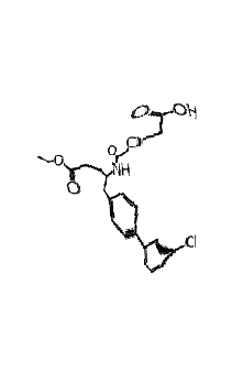 CCOC(=O)CC(Cc1ccc(-c2cccc(Cl)c2)cc1)NC(=O)COCC(=O)O